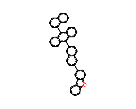 c1ccc2c(-c3c4ccccc4c(-c4ccc5cc(-c6ccc7oc8ccccc8c7c6)ccc5c4)c4ccccc34)cccc2c1